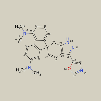 CN(C)c1cccc(C2(c3cccc(N(C)C)c3)C=Cc3c(-c4cnco4)n[nH]c3C2)c1